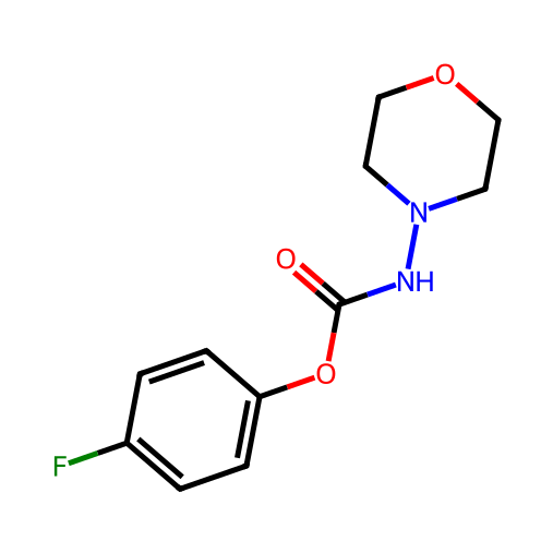 O=C(NN1CCOCC1)Oc1ccc(F)cc1